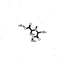 CCCCOC(=O)C(CCCC)N(C)C(CCCC)C(=O)OCCCC